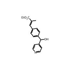 CCOC(=O)C(C)=Cc1ccc(C(O)c2ccncc2)cc1